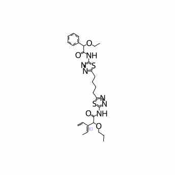 C=C/C(=C\C)C(OCCC)C(=O)Nc1nnc(CCCCc2nnc(NC(=O)C(OCC)c3ccccc3)s2)s1